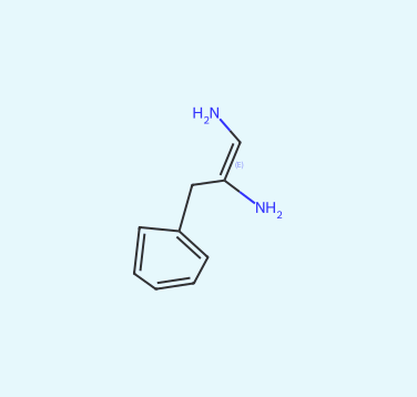 N/C=C(/N)Cc1ccccc1